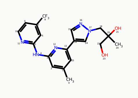 Cc1cc(Nc2cc(C(F)(F)F)ccn2)nc(-c2cnn(CC(C)(O)CO)c2)c1